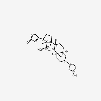 C[C@]12CC[C@H](N3CC[C@@H](O)C3)C[C@H]1CC[C@@H]1[C@@H]2C[C@@H](O)[C@]2(C)[C@@H](C3=CC(=O)OC3)CC[C@]12O